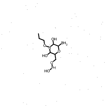 BC1OC(COPO)C(O)N(OCCC)C1O